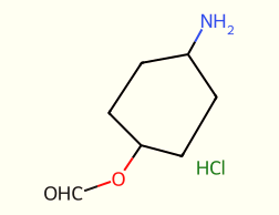 Cl.NC1CCC(OC=O)CC1